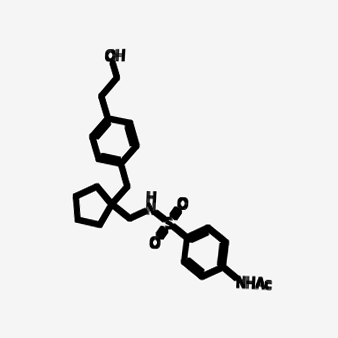 CC(=O)Nc1ccc(S(=O)(=O)NCC2(Cc3ccc(CCO)cc3)CCCC2)cc1